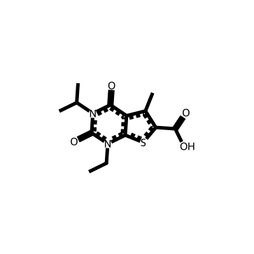 CCn1c(=O)n(C(C)C)c(=O)c2c(C)c(C(=O)O)sc21